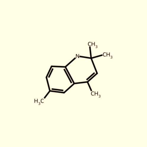 CC1=CC(C)(C)[N]c2ccc(C)cc21